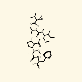 CC[C@H](C)C([C@@H](CC(=O)N1[C@@H](C)CC[C@H]1C(OC)[C@@H](C)C(=O)N[C@@H](Cc1ccccc1)C(=O)O)OC)N(C)C(=O)[C@@H](NC(=O)C(NC)C(C)C)C(C)C